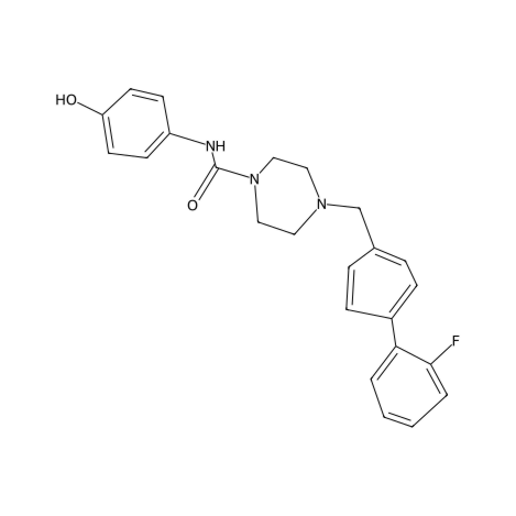 O=C(Nc1ccc(O)cc1)N1CCN(Cc2ccc(-c3ccccc3F)cc2)CC1